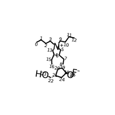 CCCC[N+](CCCC)(CCCC)CCCC.O=C1CC[C@@H](CO)C1.[F-]